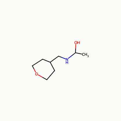 CC(O)NCC1CCOCC1